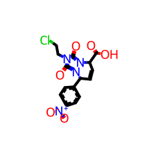 O=C(O)C1C=CC(c2ccc([N+](=O)[O-])cc2)n2c(=O)n(CCCl)c(=O)n21